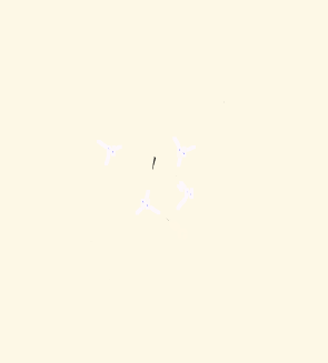 CCN1CC[C@@]2(C[C@@H]1C)C(N1CCC(C(F)(F)F)C1)=NC(=O)N2c1cccc(F)c1